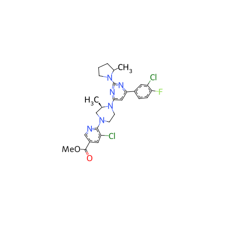 COC(=O)c1cnc(N2CCN(c3cc(-c4ccc(F)c(Cl)c4)nc(N4CCCC4C)n3)[C@H](C)C2)c(Cl)c1